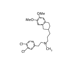 COc1cc2c(cc1OC)CC(CCCN(C)CCc1ccc(Cl)c(Cl)c1)CC2